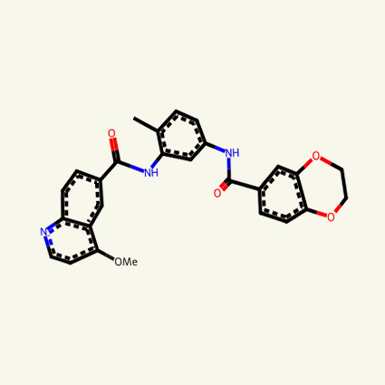 COc1ccnc2ccc(C(=O)Nc3cc(NC(=O)c4ccc5c(c4)OCCO5)ccc3C)cc12